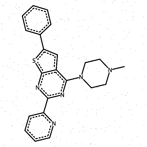 CN1CCN(c2nc(-c3ccccn3)nc3sc(-c4ccccc4)cc23)CC1